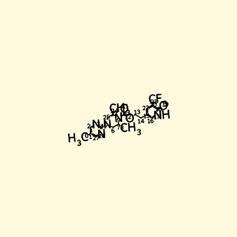 Cc1cnc(N2CC(C)N(C(=O)OCCc3c[nH]c(=O)c(C(F)(F)F)c3)C(C)C2)nc1